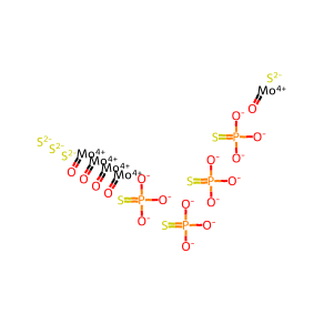 [O-]P([O-])([O-])=S.[O-]P([O-])([O-])=S.[O-]P([O-])([O-])=S.[O-]P([O-])([O-])=S.[O]=[Mo+4].[O]=[Mo+4].[O]=[Mo+4].[O]=[Mo+4].[O]=[Mo+4].[S-2].[S-2].[S-2].[S-2]